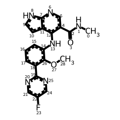 CNC(=O)c1cnc2[nH]ccc2c1Nc1cccc(-c2ncc(F)cn2)c1OC